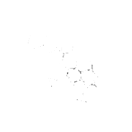 CC(Oc1nc(C2CC2)nc2c1c(=O)[nH]c(=O)n2C1CC1)C(=O)NCC1CCCCC1